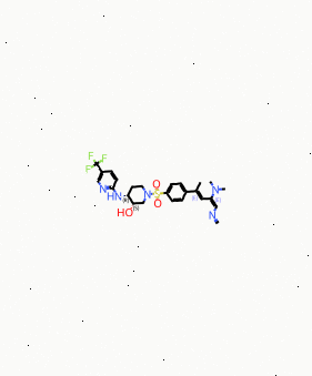 C=N/C=C(\C=C(/C)c1ccc(S(=O)(=O)N2CC[C@@H](Nc3ccc(C(F)(F)F)cn3)[C@@H](O)C2)cc1)N(C)C